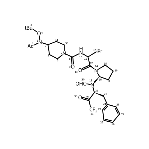 CC(=O)N(OC(C)(C)C)C1CCN(C(=O)NC(C(=O)N2CCC[C@H]2N(C=O)[C@@H](Cc2ccccc2)C(=O)C(F)(F)F)C(C)C)CC1